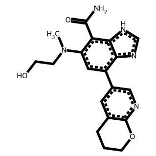 CN(CCO)c1cc(-c2cnc3c(c2)CCCO3)c2nc[nH]c2c1C(N)=O